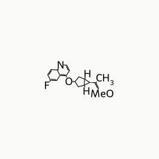 CO/C=C(/C)[C@H]1[C@@H]2C[C@@H](Oc3ccnc4ccc(F)cc34)C[C@@H]21